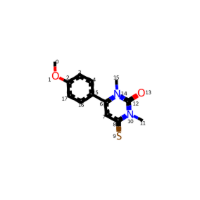 COc1ccc(-c2cc(=S)n(C)c(=O)n2C)cc1